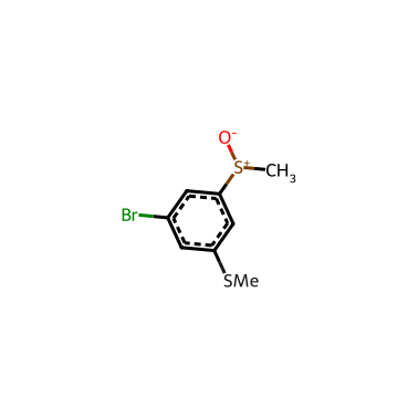 CSc1cc(Br)cc([S+](C)[O-])c1